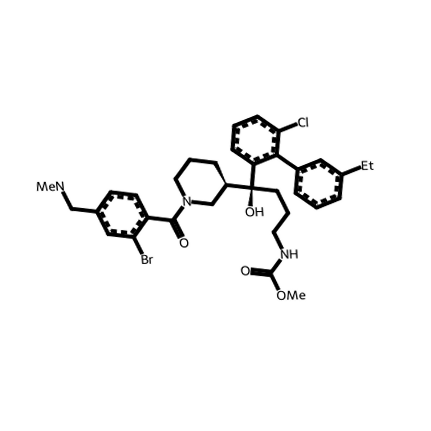 CCc1cccc(-c2c(Cl)cccc2[C@](O)(CCCNC(=O)OC)[C@@H]2CCCN(C(=O)c3ccc(CNC)cc3Br)C2)c1